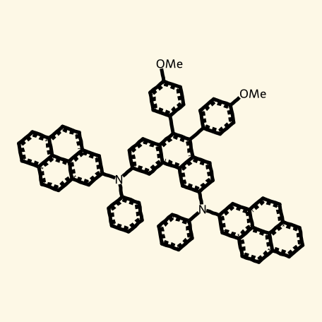 COc1ccc(-c2c(-c3ccc(OC)cc3)c3ccc(N(c4ccccc4)c4cc5ccc6cccc7ccc(c4)c5c67)cc3c3cc(N(c4ccccc4)c4cc5ccc6cccc7ccc(c4)c5c67)ccc23)cc1